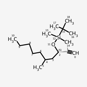 C#C[C@H](CC(C)CCCCC)O[Si](C)(C)C(C)(C)C